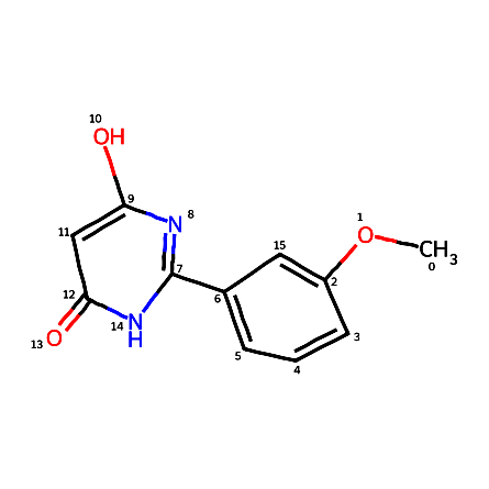 COc1cccc(-c2nc(O)cc(=O)[nH]2)c1